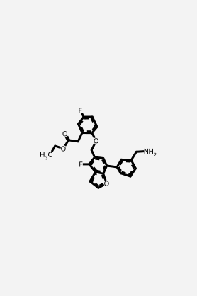 CCOC(=O)Cc1cc(F)ccc1OCc1cc(-c2cccc(CN)c2)c2occc2c1F